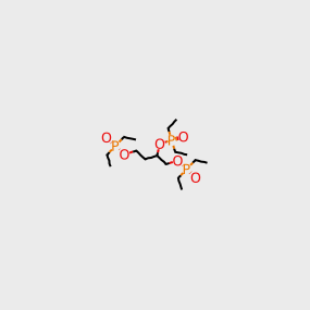 CCP(=O)(CC)OCCC(COP(=O)(CC)CC)OP(=O)(CC)CC